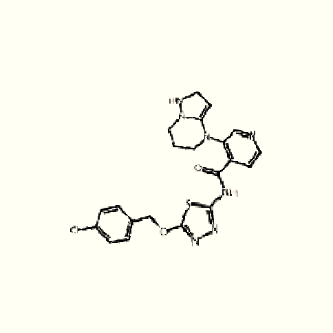 O=C(Nc1nnc(OCc2ccc(Cl)cc2)s1)c1ccncc1N1CCCN2NCC=C21